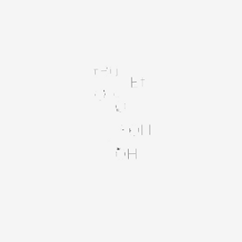 CCC(C(=O)OCC(O)CO)C(C)(C)C